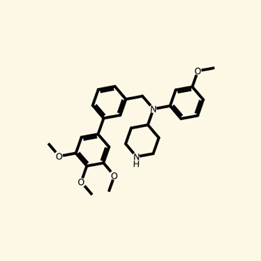 COc1cccc(N(Cc2cccc(-c3cc(OC)c(OC)c(OC)c3)c2)C2CCNCC2)c1